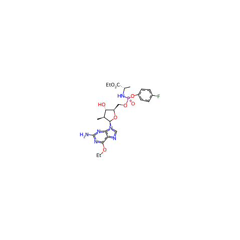 CCOC(=O)[C@H](C)NP(=O)(OC[C@H]1O[C@@H](n2cnc3c(OCC)nc(N)nc32)[C@@H](C)[C@@H]1O)Oc1ccc(F)cc1